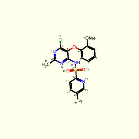 COc1ccccc1Oc1c(Cl)nc(C)nc1NS(=O)(=O)c1ccc(C(C)C)cn1